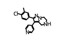 Cc1cc(-c2nn3c(c2-c2ccncc2)CNCC3)ccc1Cl